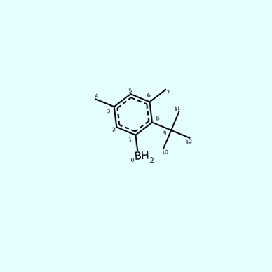 Bc1cc(C)cc(C)c1C(C)(C)C